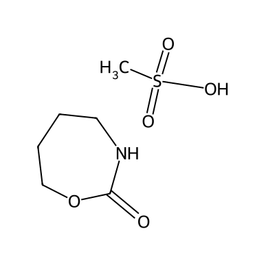 CS(=O)(=O)O.O=C1NCCCCO1